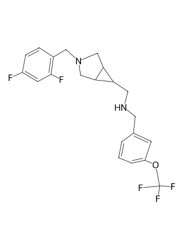 Fc1ccc(CN2CC3C(CNCc4cccc(OC(F)(F)F)c4)C3C2)c(F)c1